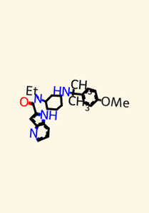 CCN(C(=O)c1cc2ncccc2[nH]1)C1CCCC(NC(C)(C)c2ccc(OC)cc2)C1